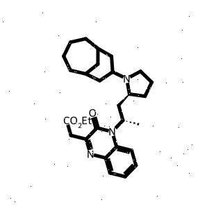 CCOC(=O)Cc1nc2ccccc2n([C@@H](C)C[C@@H]2CCCN2C2CC3CCCCC(C3)C2)c1=O